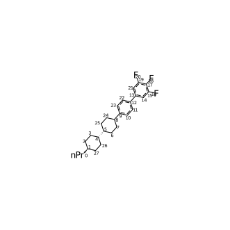 CCC[C@H]1CC[C@H](C2CCC(c3ccc(-c4cc(F)c(F)c(F)c4)cc3)CC2)CC1